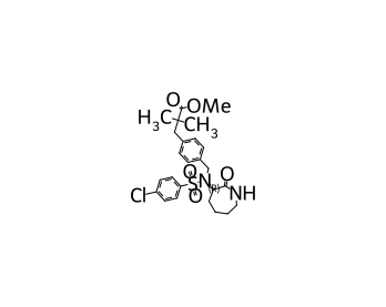 COC(=O)C(C)(C)Cc1ccc(CN([C@@H]2CCCCNC2=O)S(=O)(=O)c2ccc(Cl)cc2)cc1